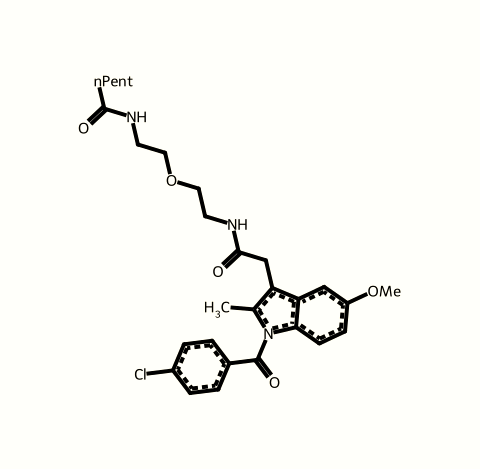 CCCCCC(=O)NCCOCCNC(=O)Cc1c(C)n(C(=O)c2ccc(Cl)cc2)c2ccc(OC)cc12